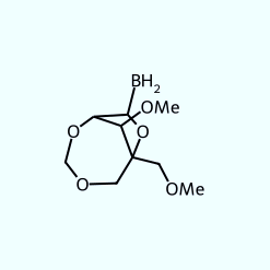 BC1OC2(COC)COCOC1C2OC